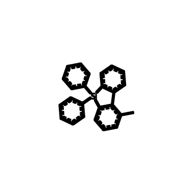 Cc1cccc2c1-c1ccccc1[Si]2(c1ccccc1)c1ccccc1